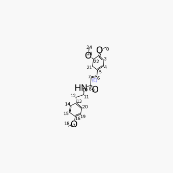 COC1=CC=C(/C=C/C(=O)NCCc2ccc(OC)cc2)CC1OC